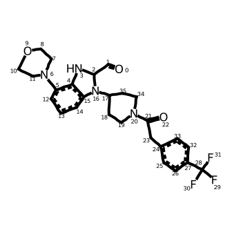 O=CC1Nc2c(N3CCOCC3)cccc2N1C1CCN(C(=O)Cc2ccc(C(F)(F)F)cc2)CC1